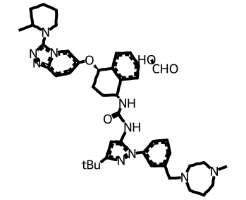 CC1CCCCN1c1nnc2ccc(O[C@@H]3CC[C@H](NC(=O)Nc4cc(C(C)(C)C)nn4-c4cccc(CN5CCCN(C)CC5)c4)c4ccccc43)cn12.O=CO